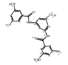 Nc1cc(N)cc(C(=O)Nc2cc(NC(=O)c3cc(N)cc(N)c3)cc(C(=O)O)c2)c1